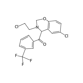 O=C(c1cccc(C(F)(F)F)c1)C1c2cc(Cl)ccc2OCN1CCCl